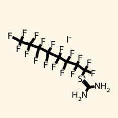 NC(N)=[S+]C(F)(F)C(F)(F)C(F)(F)C(F)(F)C(F)(F)C(F)(F)C(F)(F)C(F)(F)F.[I-]